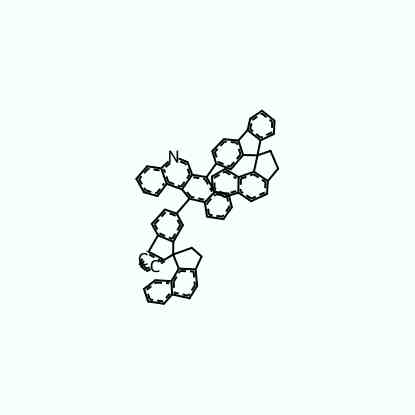 c1ccc2c(c1)-c1ccc(-c3c4ccccc4c(-c4ccc5c(c4)C4(CCc6ccc7ccccc7c64)c4ccccc4-5)c4c3cnc3ccccc34)cc1C21CCc2ccc3ccccc3c21